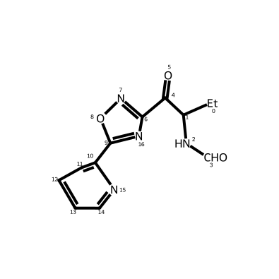 CCC(NC=O)C(=O)c1noc(-c2ccccn2)n1